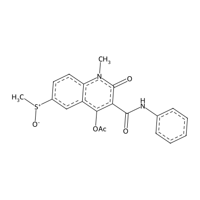 CC(=O)Oc1c(C(=O)Nc2ccccc2)c(=O)n(C)c2ccc([S+](C)[O-])cc12